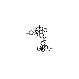 COC(=O)c1cc(Oc2ccc([N+](=O)[O-])c(OCC(C)C)c2)ccc1NS(=O)(=O)c1ccc(C)cc1